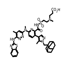 Cc1cc(N(C)c2ccc(-c3cnn(CC45CC6CC(CC(C6)C4)C5)c3C)c(C(=O)NS(=O)(=O)CCN(C)CCC(=O)O)n2)nnc1Nc1nc2ccccc2s1